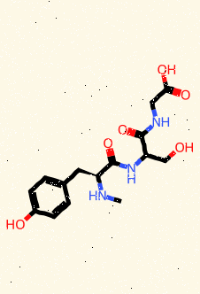 CN[C@@H](Cc1ccc(O)cc1)C(=O)NC(CO)C(=O)NCC(=O)O